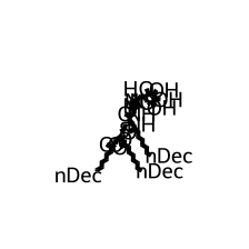 CCCCCCCCCCCCCCCCC(=O)N[C@H](CSC[C@@H](COC(=O)CCCCCCCCCCCCCCCC)OC(=O)CCCCCCCCCCCCCCCC)C(=O)Nc1cn(CC2OC(O)C(O)C(O)C2O)nn1